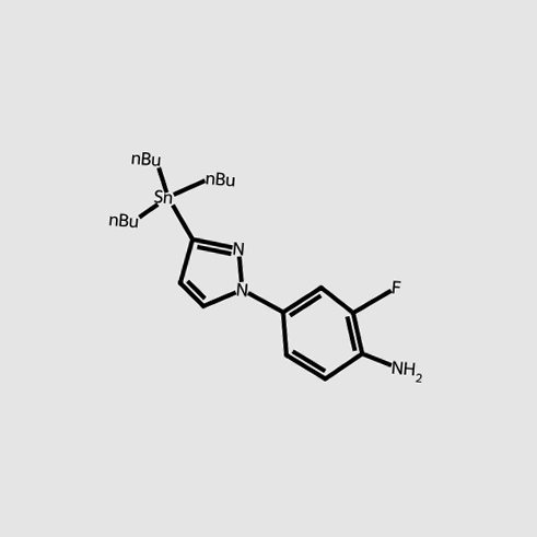 CCC[CH2][Sn]([CH2]CCC)([CH2]CCC)[c]1ccn(-c2ccc(N)c(F)c2)n1